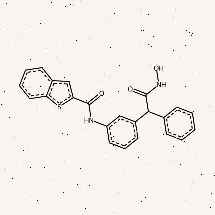 O=C(Nc1cccc(C(C(=O)NO)c2ccccc2)c1)c1cc2ccccc2s1